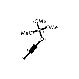 CC#CO[Si](OC)(OC)OC